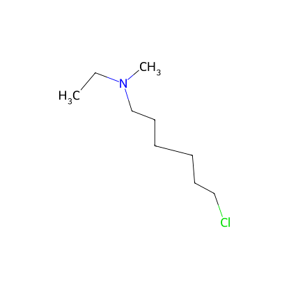 CCN(C)CCCCCCCl